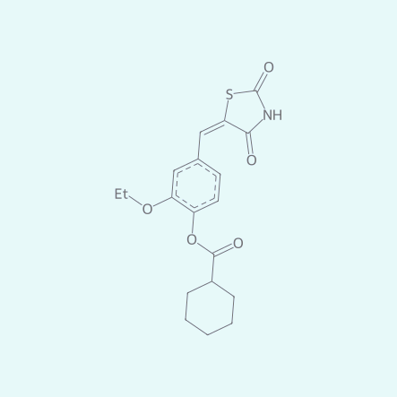 CCOc1cc(C=C2SC(=O)NC2=O)ccc1OC(=O)C1CCCCC1